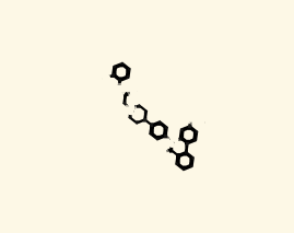 Cc1ccccc1OC(=O)CN1CCC(c2ccc(NC(=O)c3ccccc3-c3ccc(C(F)(F)F)cc3)cc2)CC1